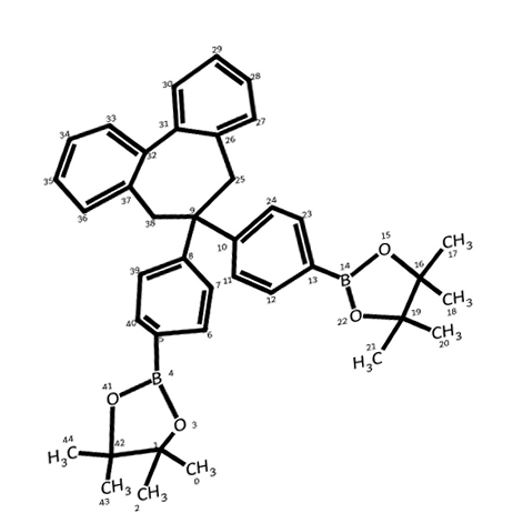 CC1(C)OB(c2ccc(C3(c4ccc(B5OC(C)(C)C(C)(C)O5)cc4)Cc4ccccc4-c4ccccc4C3)cc2)OC1(C)C